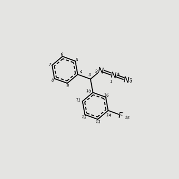 [N-]=[N+]=NC(c1ccccc1)c1cccc(F)c1